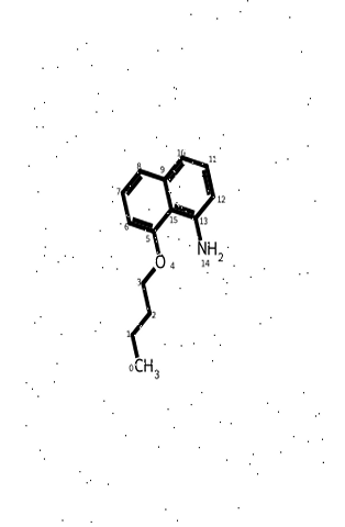 CCCCOc1cccc2cccc(N)c12